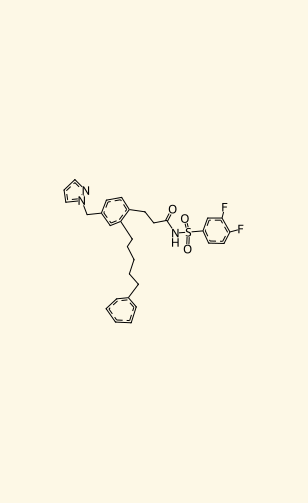 O=C(CCc1ccc(Cn2cccn2)cc1CCCCCc1ccccc1)NS(=O)(=O)c1ccc(F)c(F)c1